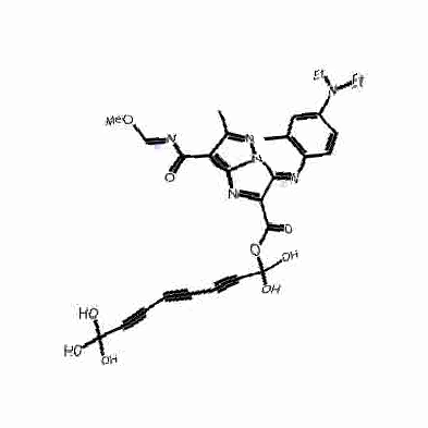 CCN(CC)c1ccc(/N=C2/C(C(=O)OC(O)(O)C#CC#CC#CC(O)(O)O)=Nc3c(C(=O)/N=C/OC)c(C)nn32)c(C)c1